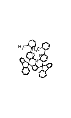 Cc1ccccc1-c1ccc2c(n1)N1c3nc(C4=CC=CCC4C)ccc3C3(c4ccccc4-c4ccccc43)c3cccc(c31)C21c2ccccc2-c2ccccc21